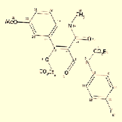 CCOC(=O)Oc1c(C(=O)N(C(=O)OCC)c2ccc(F)cc2)c(=O)n(C)c2ccc(OC)cc12